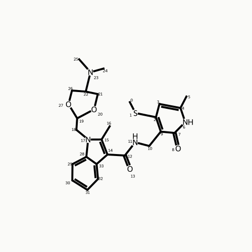 CSc1cc(C)[nH]c(=O)c1CNC(=O)c1c(C)n(CC2OCC(N(C)C)CO2)c2ccccc12